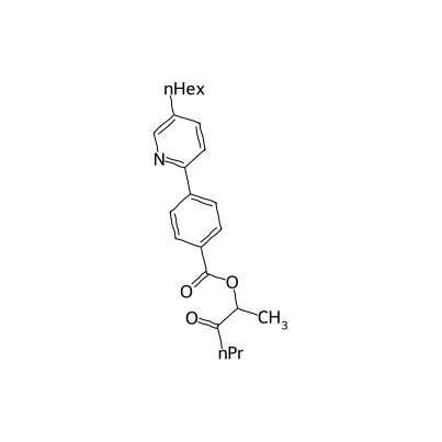 CCCCCCc1ccc(-c2ccc(C(=O)OC(C)C(=O)CCC)cc2)nc1